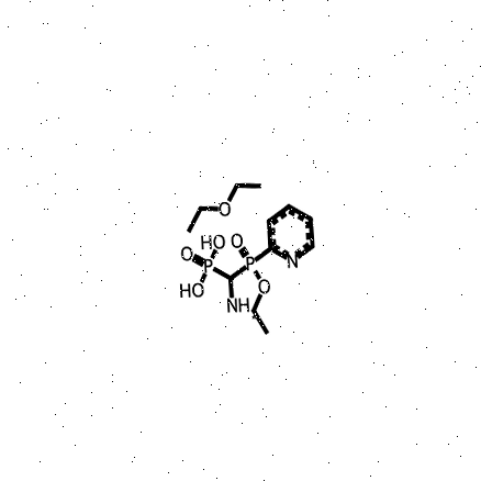 CCOCC.CCOP(=O)(c1ccccn1)C(N)P(=O)(O)O